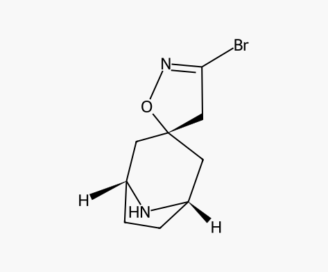 BrC1=NO[C@@]2(C1)C[C@H]1CC[C@@H](C2)N1